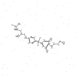 C[S+]([O-])NCC(O)COc1ccc(C(C)(C)c2cc(Cl)c(OCCCCl)c(Cl)c2)cc1